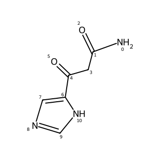 NC(=O)CC(=O)c1cnc[nH]1